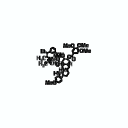 CCC(c1cccc(O)c1)C(C)CN(C)C.COC(=O)[C@H]1[C@H]2C[C@@H]3c4[nH]c5cc(OC)ccc5c4CCN3C[C@H]2C[C@@H](OC(=O)c2cc(OC)c(OC)c(OC)c2)[C@@H]1OC